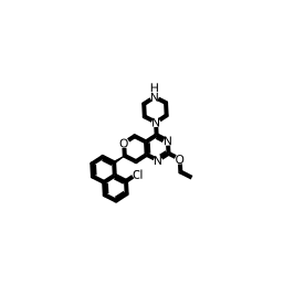 CCOc1nc2c(c(N3CCNCC3)n1)CO[C@H](c1cccc3cccc(Cl)c13)C2